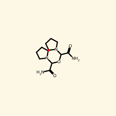 NC(=O)C(OC(C(N)=O)N1CCCC1)N1CCCC1